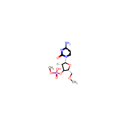 COC[C@H]1O[C@@H](n2ccc(N)nc2=O)[C@@H](F)C1OP(=O)(O)OC